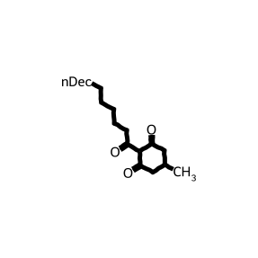 CCCCCCCCCCCCCCCC(=O)C1C(=O)CC(C)CC1=O